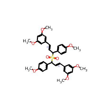 COc1ccc(C(/C=C/c2cc(OC)cc(OC)c2)S(=O)(=O)C(/C=C/c2cc(OC)cc(OC)c2)c2ccc(OC)cc2)cc1